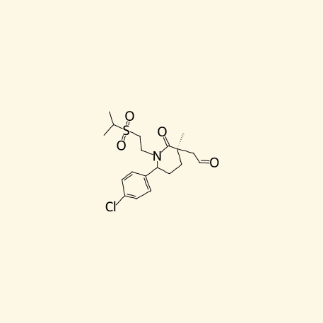 CC(C)S(=O)(=O)CCN1C(=O)[C@@](C)(CC=O)CCC1c1ccc(Cl)cc1